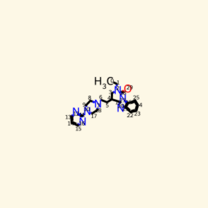 CCN1CC(CCN2CCN(c3ncccn3)CC2)c2nc3ccccc3n2C1=O